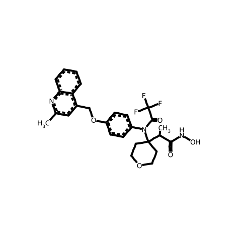 Cc1cc(COc2ccc(N(C(=O)C(F)(F)F)C3(C(C)C(=O)NO)CCOCC3)cc2)c2ccccc2n1